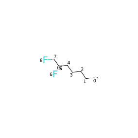 [CH2]CCCC[C@H](F)CF